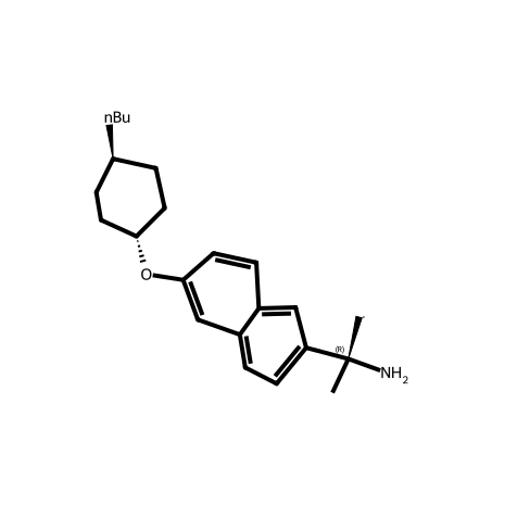 [CH2][C@](C)(N)c1ccc2cc(O[C@H]3CC[C@H](CCCC)CC3)ccc2c1